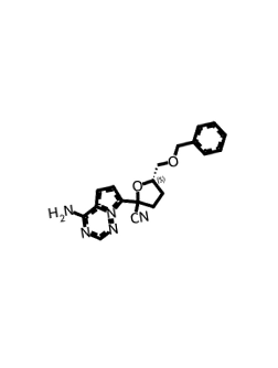 N#CC1(c2ccc3c(N)ncnn23)CC[C@@H](COCc2ccccc2)O1